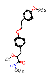 CCOC(Cc1ccc(OCCc2ccc(OSC)cc2)cc1)C(=O)NOC